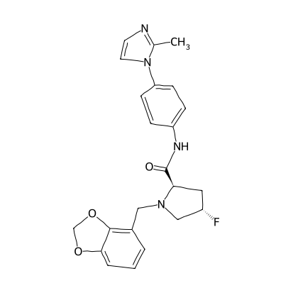 Cc1nccn1-c1ccc(NC(=O)[C@H]2C[C@H](F)CN2Cc2cccc3c2OCO3)cc1